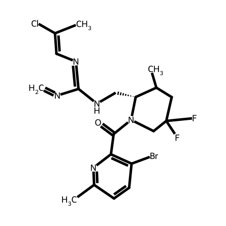 C=N/C(=N\C=C(/C)Cl)NC[C@@H]1C(C)CC(F)(F)CN1C(=O)c1nc(C)ccc1Br